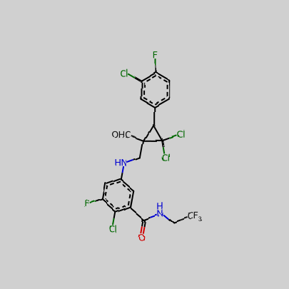 O=CC1(CNc2cc(F)c(Cl)c(C(=O)NCC(F)(F)F)c2)C(c2ccc(F)c(Cl)c2)C1(Cl)Cl